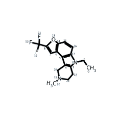 CCn1c2c(c3c4cc(C(F)(F)F)oc4ccc31)CN(C)CC2